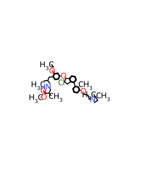 CCOc1cc(O[C@H]2CCc3c(-c4cccc(OCCCN5CCC5(C)C)c4C)cccc32)c(Cl)cc1CC(CC)CNCC(C)C(=O)OC